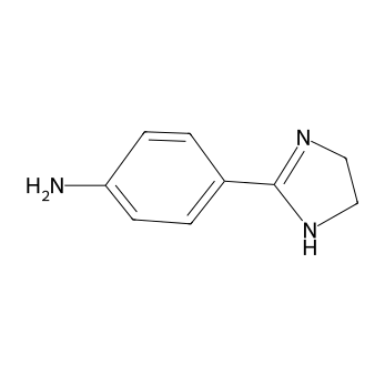 Nc1ccc(C2=NCCN2)cc1